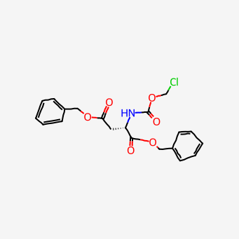 O=C(C[C@H](NC(=O)OCCl)C(=O)OCc1ccccc1)OCc1ccccc1